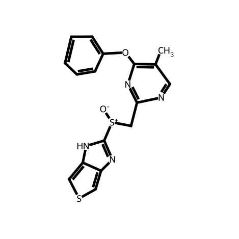 Cc1cnc(C[S+]([O-])c2nc3cscc3[nH]2)nc1Oc1ccccc1